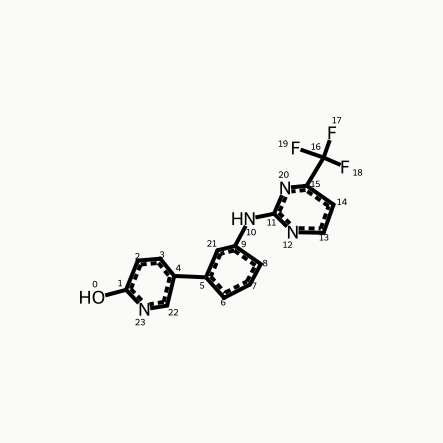 Oc1ccc(-c2cccc(Nc3nccc(C(F)(F)F)n3)c2)cn1